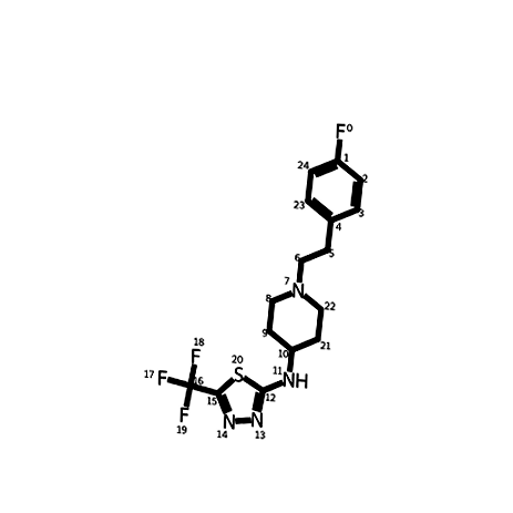 Fc1ccc(CCN2CCC(Nc3nnc(C(F)(F)F)s3)CC2)cc1